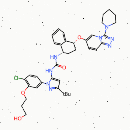 CC(C)(C)c1cc(NC(=O)N[C@H]2CC[C@@H](Oc3ccc4nnc(N5CCCCC5)n4c3)c3ccccc32)n(-c2ccc(Cl)c(OCCCO)c2)n1